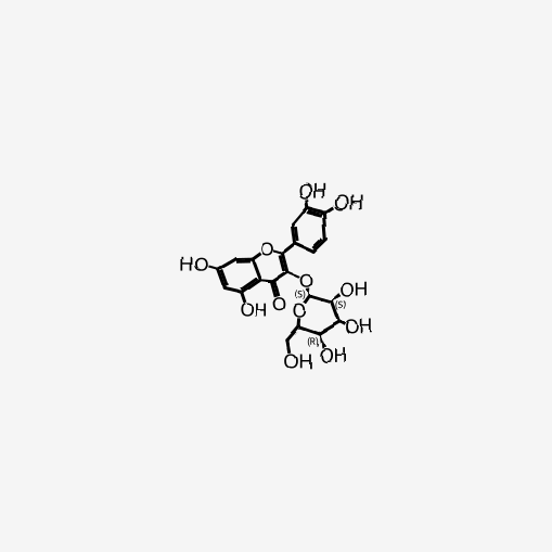 O=c1c(O[C@@H]2OC(CO)[C@H](O)C(O)[C@@H]2O)c(-c2ccc(O)c(O)c2)oc2cc(O)cc(O)c12